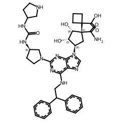 NC(=O)[C@]1(C2(C(=O)O)CCC2)C[C@@H](n2cnc3c(NCC(c4ccccc4)c4ccccc4)nc(N4CC[C@@H](NC(=O)NC5CCNC5)C4)nc32)[C@H](O)[C@@H]1O